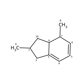 CC1CC2=CC=CC(C)C2C1